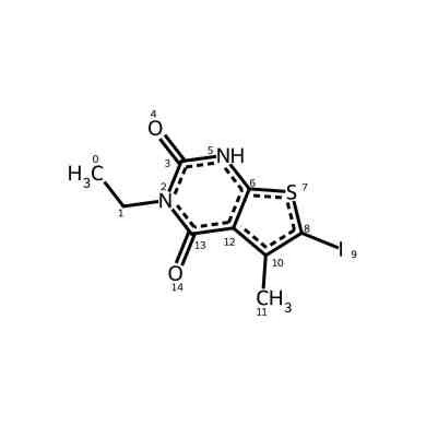 CCn1c(=O)[nH]c2sc(I)c(C)c2c1=O